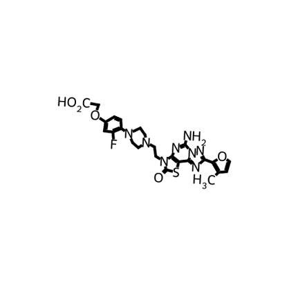 Cc1ccoc1-c1nc2c3sc(=O)n(CCN4CCN(c5ccc(OCC(=O)O)cc5F)CC4)c3nc(N)n2n1